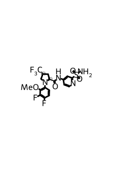 COc1c(N2C[C@@H](C(F)(F)F)C[C@H]2C(=O)Nc2ccnc(S(N)(=O)=O)c2)ccc(F)c1F